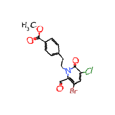 COC(=O)c1ccc(CCn2c(C=O)c(Br)cc(Cl)c2=O)cc1